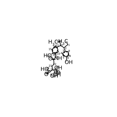 CCC(c1ccc(O)cc1)C(CC)c1ccc(O)c(NC(=O)CCC(P(=O)(O)O)P(=O)(O)O)c1